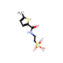 Cc1ccc(C(=O)NCCS(=O)(=O)O)s1